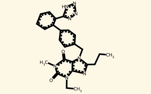 CCCc1nc2c(c(=O)n(C)c(=O)n2CC)n1Cc1ccc(-c2ccccc2-c2nnn[nH]2)cc1